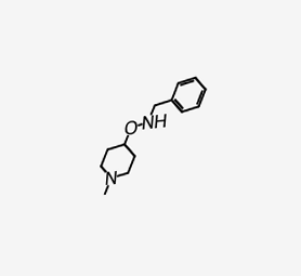 CN1CCC(ONCc2ccccc2)CC1